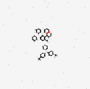 FC(F)(F)c1ccc([S+](c2ccccc2)c2ccc(C(F)(F)F)cc2)cc1.O=C([O-])c1cc(Oc2ccccc2)c(Oc2ccccc2)c(Oc2ccccc2)c1-c1ccccc1